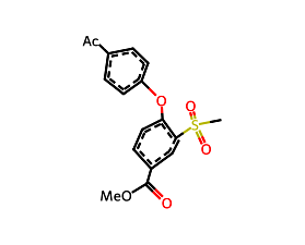 COC(=O)c1ccc(Oc2ccc(C(C)=O)cc2)c(S(C)(=O)=O)c1